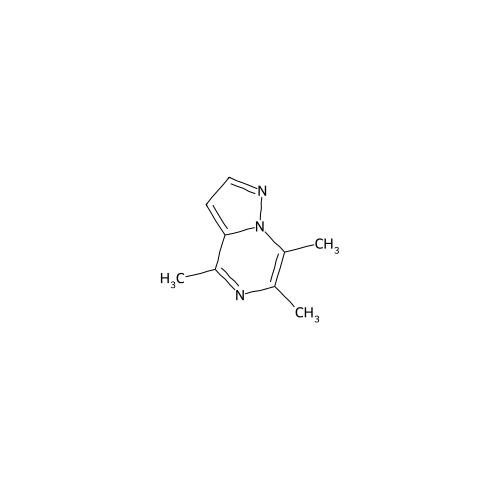 Cc1nc(C)c2ccnn2c1C